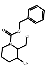 N#CC1CCCN(C(=O)OCc2ccccc2)C1CCl